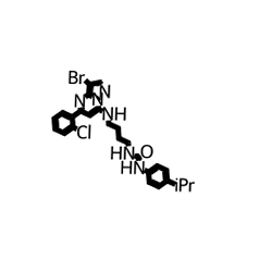 CC(C)c1ccc(NC(=O)NCCCCNc2cc(-c3ccccc3Cl)nc3c(Br)cnn23)cc1